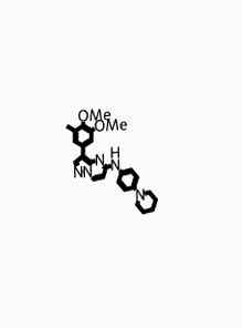 COc1cc(-c2cnn3ccc(Nc4ccc(N5CCCCC5)cc4)nc23)cc(C)c1OC